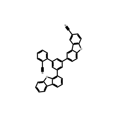 N#Cc1ccc2oc3ccc(-c4cc(-c5ccccc5C#N)cc(-c5cccc6c5oc5ccccc56)c4)cc3c2c1